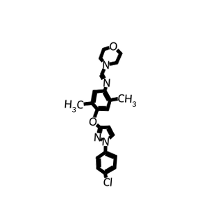 Cc1cc(Oc2ccn(-c3ccc(Cl)cc3)n2)c(C)cc1/N=C/N1CCOCC1